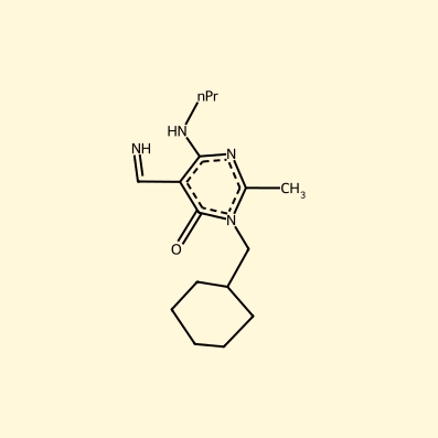 CCCNc1nc(C)n(CC2CCCCC2)c(=O)c1C=N